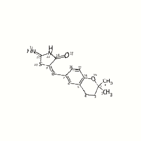 CC1(C)CCc2cc(C=C3SC(=N)NC3=O)ccc2O1